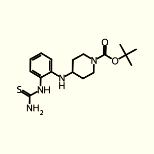 CC(C)(C)OC(=O)N1CCC(Nc2ccccc2NC(N)=S)CC1